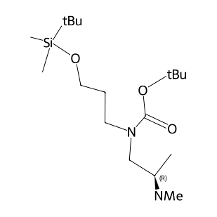 CN[C@H](C)CN(CCCO[Si](C)(C)C(C)(C)C)C(=O)OC(C)(C)C